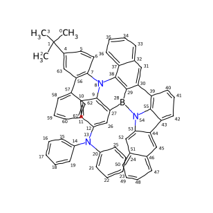 CC(C)(C)c1ccc(N2c3ccc(N(c4ccccc4)c4ccccc4)cc3B3c4c(cc5ccccc5c42)-c2cccc4c5cc6ccccc6cc5n3c24)c(-c2ccccc2)c1